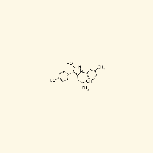 Cc1ccc(-c2c(O)nn(-c3cccc(C)c3)c2CC(C)C)cc1